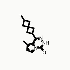 Cc1ccn2c(=O)[nH]nc(C3CC4(CC(C)C4)C3)c12